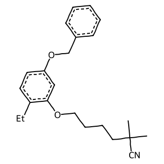 CCc1ccc(OCc2ccccc2)cc1OCCCCC(C)(C)C#N